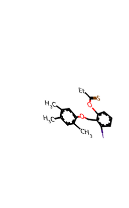 CCC(=S)Oc1cccc(I)c1COc1cc(C)c(C)cc1C